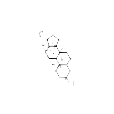 C[C@]12CC[C@H](O)CC1CC[C@@H]1[C@@H]2CC[C@]2(C)[C@H](CO)CC[C@]12N